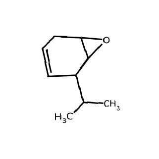 CC(C)C1C=CCC2OC21